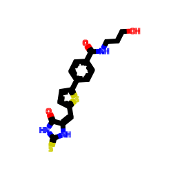 O=C1NC(=S)N/C1=C/c1ccc(-c2ccc(C(=O)NCCCO)cc2)s1